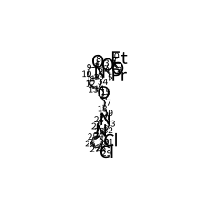 CCC(=O)OC(C(C)C)N1C(=O)CCc2ccc(OCCCCN3CCN(c4cccc(Cl)c4Cl)CC3)cc21